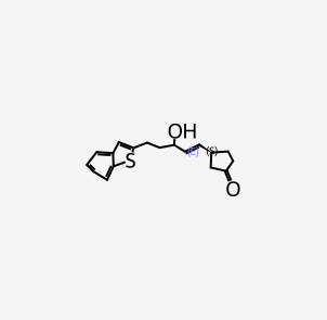 O=C1CC[C@H](/C=C/C(O)CCc2cc3ccccc3s2)C1